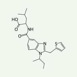 CCC(C)n1c(Cc2cccs2)nc2cc(C(=O)NC(CC(C)C)C(=O)O)ccc21